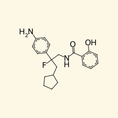 Nc1ccc(C(F)(CNC(=O)c2ccccc2O)CC2CCCC2)cc1